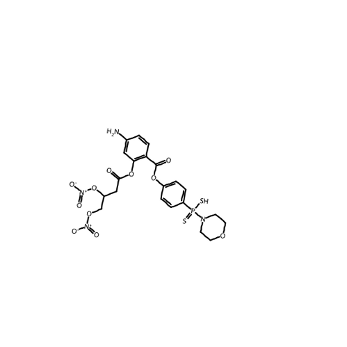 Nc1ccc(C(=O)Oc2ccc(P(=S)(S)N3CCOCC3)cc2)c(OC(=O)CC(CO[N+](=O)[O-])O[N+](=O)[O-])c1